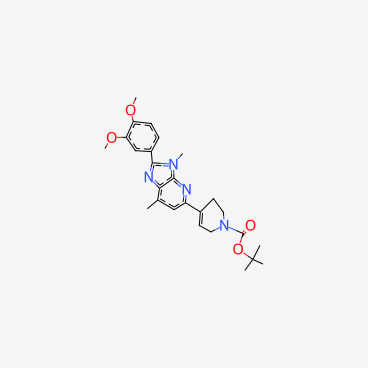 COc1ccc(-c2nc3c(C)cc(C4=CCN(C(=O)OC(C)(C)C)CC4)nc3n2C)cc1OC